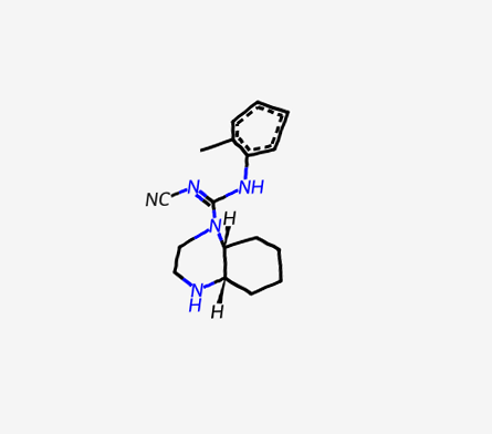 Cc1ccccc1N/C(=N/C#N)N1CCN[C@H]2CCCC[C@H]21